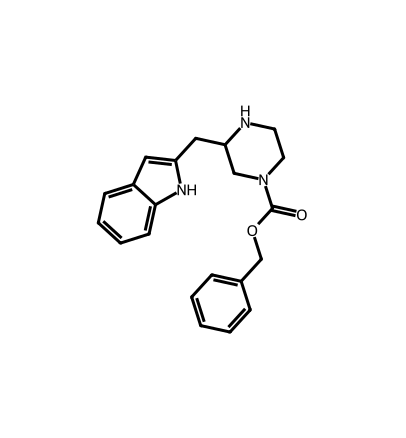 O=C(OCc1ccccc1)N1CCNC(Cc2cc3ccccc3[nH]2)C1